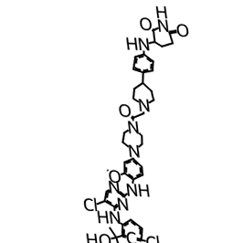 COc1cc(N2CCN(C(=O)CN3CCC(c4ccc(NC5CCC(=O)NC5=O)cc4)CC3)CC2)ccc1Nc1ncc(Cl)c(Nc2ccc(Cl)cc2C(C)(C)O)n1